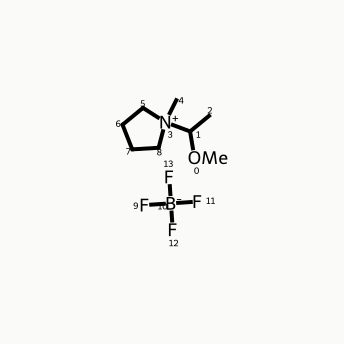 COC(C)[N+]1(C)CCCC1.F[B-](F)(F)F